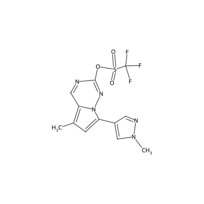 Cc1cc(-c2cnn(C)c2)n2nc(OS(=O)(=O)C(F)(F)F)ncc12